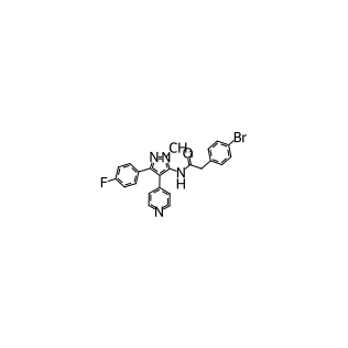 Cn1nc(-c2ccc(F)cc2)c(-c2ccncc2)c1NC(=O)Cc1ccc(Br)cc1